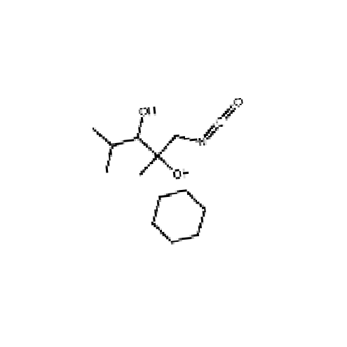 C1CCCCC1.CC(C)C(O)C(C)(O)CN=C=O